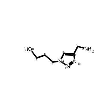 NCc1cn(CCCO)nn1